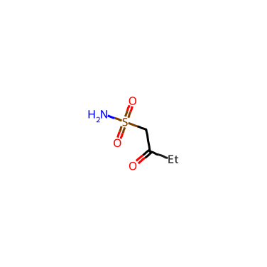 CCC(=O)CS(N)(=O)=O